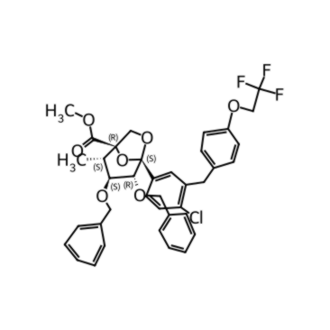 COC(=O)[C@@]12CO[C@@](c3ccc(Cl)c(Cc4ccc(OCC(F)(F)F)cc4)c3)(O1)[C@H](OCc1ccccc1)[C@@H](OCc1ccccc1)[C@@H]2C